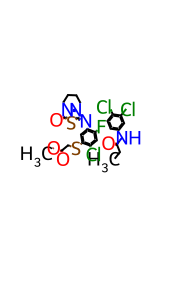 CCC(=O)Nc1ccc(Cl)c(Cl)c1.COC(=O)CSc1cc(/N=c2\sc(=O)n3n2CCCC3)c(F)cc1Cl